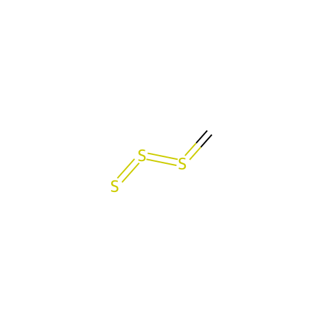 C=S=S=S